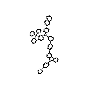 c1ccc(-c2ccc(-n3c4ccccc4c4cc(-c5ccc(-c6cccc(N(c7ccc(-c8ccc9ccccc9c8)cc7)c7ccc8c(c7)C(c7ccccc7)(c7ccccc7)c7ccccc7-8)c6)cc5)ccc43)cc2)cc1